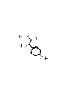 NC(=O)C(O)c1ccc(O)cc1